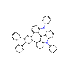 c1ccc(-c2cc3c(cc2-c2ccccc2)-c2cccc4c2B2c5c-3cccc5N(c3ccccc3)c3cccc(c32)N4c2ccccc2)cc1